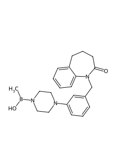 CB(O)N1CCN(c2cccc(CN3C(=O)CCCc4ccccc43)c2)CC1